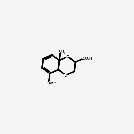 COC1=CC=CC2(C)OC(C(=O)O)COC12